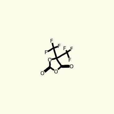 O=C1OC(=O)C(C(F)(F)F)(C(F)(F)F)O1